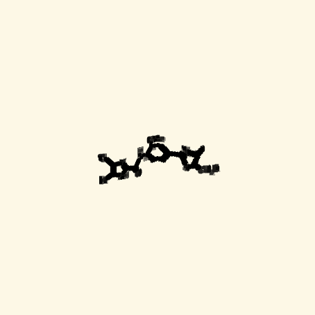 CCc1[nH]c(C(=O)N[C@@H]2CCC(c3nc(C)c(C(=O)O)s3)=C[C@@H]2OC)nc1Cl